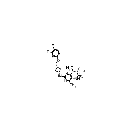 Cc1nc(N[C@H]2C[C@@H](COc3ccc(F)c(F)c3F)C2)nc2c1NC(=O)[C@H](C)N2C